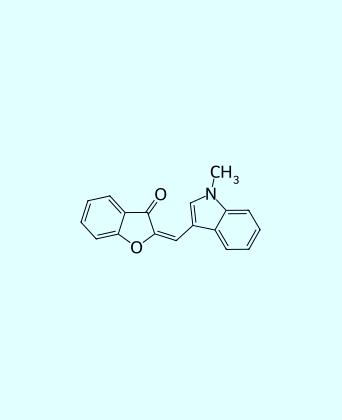 Cn1cc(/C=C2/Oc3ccccc3C2=O)c2ccccc21